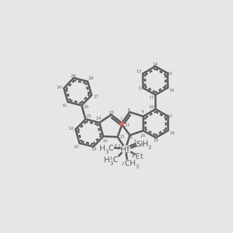 C[CH2][Hf]([CH3])([CH3])([CH3])(=[SiH2])([CH]1C=Cc2c(-c3ccccc3)cccc21)[CH]1C=Cc2c(-c3ccccc3)cccc21